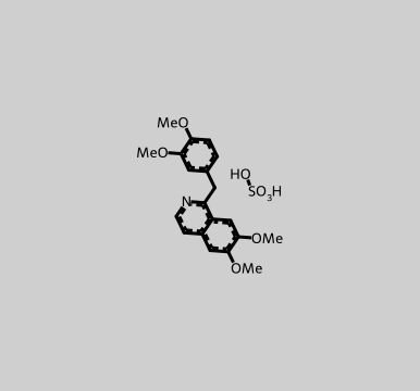 COc1ccc(Cc2nccc3cc(OC)c(OC)cc23)cc1OC.O=S(=O)(O)O